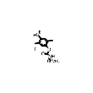 CCCCCNC(=O)Oc1cc(C)c([S+](C)C)cc1C.[I-]